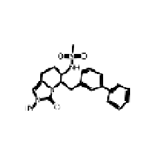 CC(C)n1cc2n(c1=O)C(Cc1cccc(-c3ccccc3)c1)C(NS(C)(=O)=O)CC2